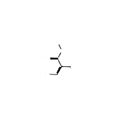 CCOC(=O)/C(C)=C\C#N